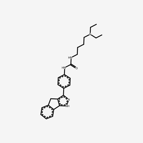 CCN(CC)CCCCNC(=O)Nc1ccc(-c2n[nH]c3c2Cc2ccccc2-3)cc1